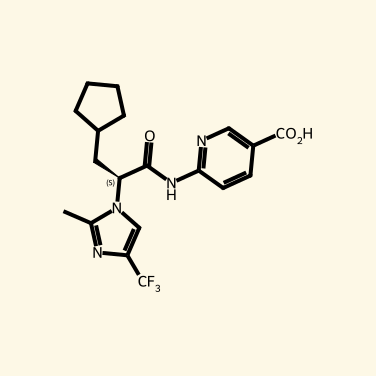 Cc1nc(C(F)(F)F)cn1[C@@H](CC1CCCC1)C(=O)Nc1ccc(C(=O)O)cn1